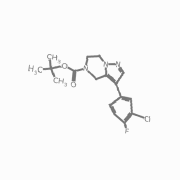 CC(C)(C)OC(=O)N1CCn2ncc(-c3ccc(F)c(Cl)c3)c2C1